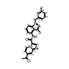 CC(=O)c1ccn2c(C(=O)Nc3cccc4c3c(C)nn4Cc3cccc(C)n3)cnc2c1